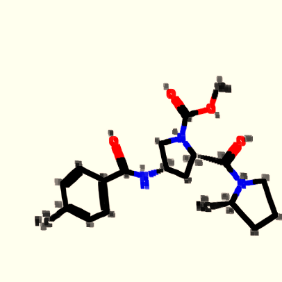 CC(C)(C)OC(=O)N1C[C@@H](NC(=O)c2ccc(C(F)(F)F)cc2)C[C@H]1C(=O)N1CCC[C@H]1C#N